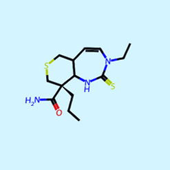 CCC[C@@]1(C(N)=O)CSCC2C=CN(CC)C(=S)NC21